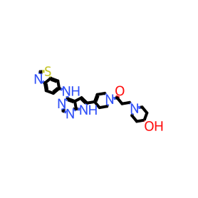 O=C(CCN1CCC(O)CC1)N1CC=C(c2cc3c(Nc4ccc5ncsc5c4)ncnc3[nH]2)CC1